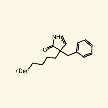 C=CC(CCCCCCCCCCCCCC)(Cc1ccccc1)C(N)=O